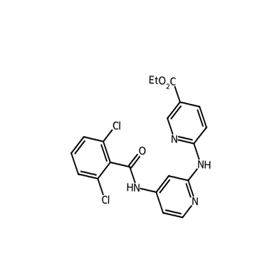 CCOC(=O)c1ccc(Nc2cc(NC(=O)c3c(Cl)cccc3Cl)ccn2)nc1